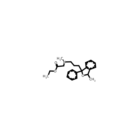 CCOC(=O)CN(C)CCCC1(c2ccccc2)OC(C)c2ccccc21